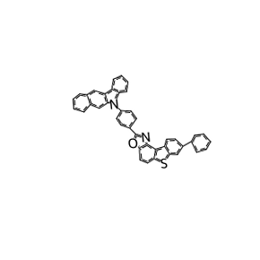 c1ccc(-c2ccc3c(c2)sc2ccc4oc(-c5ccc(-n6c7ccccc7c7cc8ccccc8cc76)cc5)nc4c23)cc1